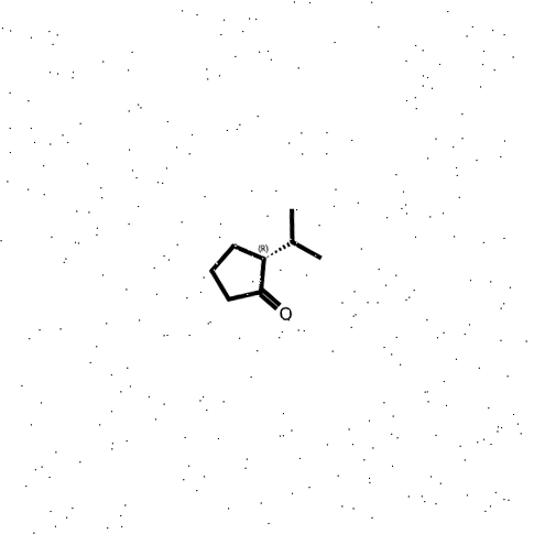 CC(C)[C@H]1CCCC1=O